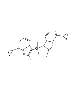 CC1=C([Si](C)(C)C2C(C)CC3C(C4CC4)=CC=CC32)C2C=CC=C(C3CC3)C2=C1